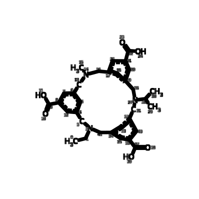 CCN1Cc2cc(cc(C(=O)O)c2)CN(C)Cc2cc(cc(C(=O)O)c2)CN(C(C)C)Cc2cc(cc(C(=O)O)c2)C1